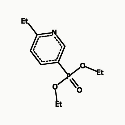 CCOP(=O)(OCC)c1ccc(CC)nc1